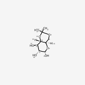 CC1(C)OC[C@H]2O[C@H](O)[C@H](O)[C@@H](O)[C@@H]2O1